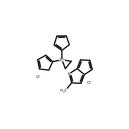 C1=CC[C]([Zr+2]2([C]3=CC=CC3)[CH2][CH2]2)=C1.CC1=NC2=CC=CC2=C1.[Cl-].[Cl-]